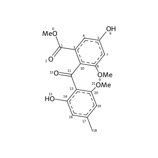 COC(=O)c1cc(O)cc(OC)c1C(=O)c1c(O)cc(C)cc1OC